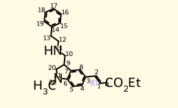 CCOC(=O)/C=C/c1ccc2c(c1)C(CNCCc1ccccc1)CN2C